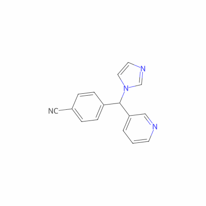 N#Cc1ccc(C(c2cccnc2)n2ccnc2)cc1